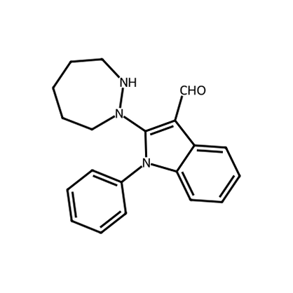 O=Cc1c(N2CCCCCN2)n(-c2ccccc2)c2ccccc12